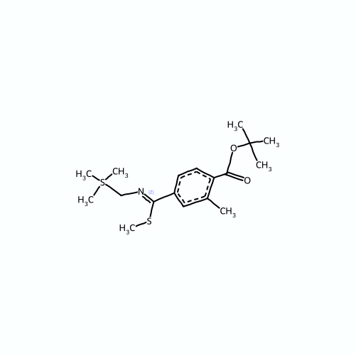 CS/C(=N\CS(C)(C)C)c1ccc(C(=O)OC(C)(C)C)c(C)c1